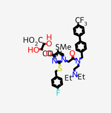 CCN(CC)CCN(Cc1ccc(-c2ccc(C(F)(F)F)cc2)cc1)C(=O)Cn1cc(SC)c(=O)nc1SCc1ccc(F)cc1.O=C(O)C(O)C(O)C(=O)O